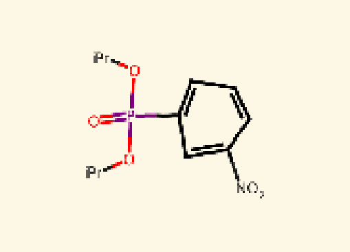 CC(C)OP(=O)(OC(C)C)c1cccc([N+](=O)[O-])c1